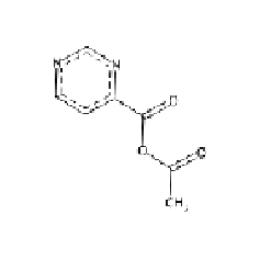 CC(=O)OC(=O)c1ccncn1